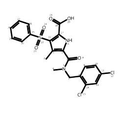 Cc1c(C(=O)N(C)Cc2ccc(Cl)cc2Cl)[nH]c(C(=O)O)c1S(=O)(=O)c1ccccc1